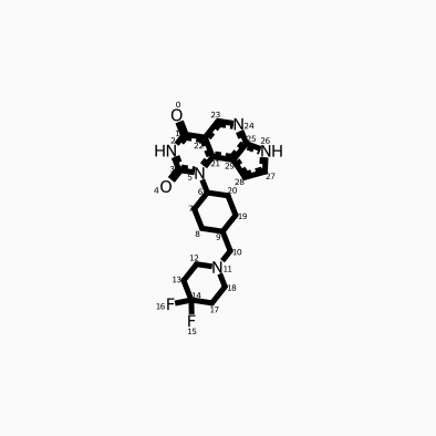 O=c1[nH]c(=O)n(C2CCC(CN3CCC(F)(F)CC3)CC2)c2c1cnc1[nH]ccc12